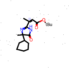 C/C(=C/C(=O)OC(C)(C)C)C1=NC(C)(C2CCCCC2)C(=O)N1